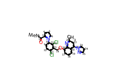 CNC(=O)c1cccn1-c1ccc(Cl)c(COc2cccc3c(-n4cccn4)cc(C)nc23)c1Cl